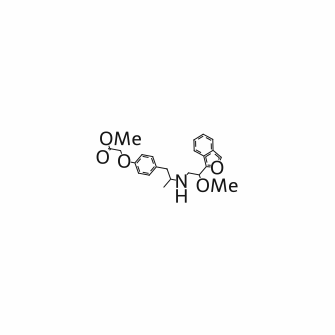 COC(=O)COc1ccc(CC(C)NCC(OC)c2occ3ccccc23)cc1